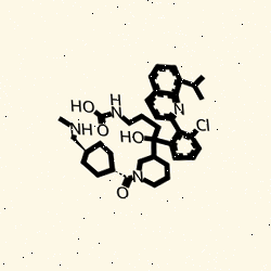 CNC[C@H]1CC[C@H](C(=O)N2CCCC(C(O)(CCCNC(=O)O)c3cccc(Cl)c3-c3ccc4cccc(C(C)C)c4n3)C2)CC1